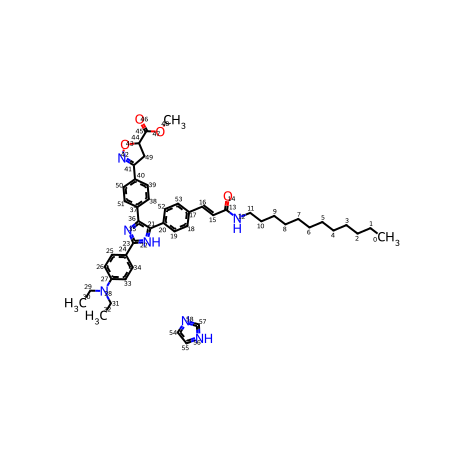 CCCCCCCCCCCCNC(=O)C=Cc1ccc(-c2[nH]c(-c3ccc(N(CC)CC)cc3)nc2-c2ccc(C3=NOC(C(=O)OC)C3)cc2)cc1.c1c[nH]cn1